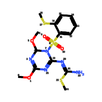 COC1=NC(OC)N(S(=O)(=O)c2ccccc2SC)C(N=C(N)SC)=N1